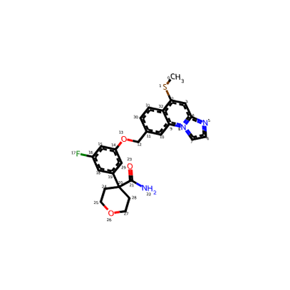 CSc1cc2nccn2c2cc(COc3cc(F)cc(C4(C(N)=O)CCOCC4)c3)ccc12